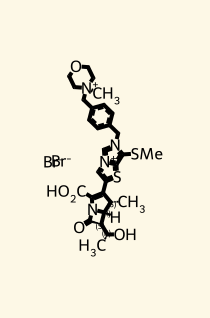 CSc1c2sc(C3=C(C(=O)O)N4C(=O)[C@H]([C@@H](C)O)[C@H]4[C@H]3C)c[n+]2cn1Cc1ccc(C[N+]2(C)CCOCC2)cc1.[Br-].[Br-]